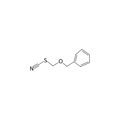 N#CSCOCc1ccccc1